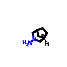 NN1CC2CC[C@H](C2)C1